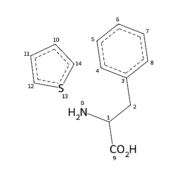 NC(Cc1ccccc1)C(=O)O.c1ccsc1